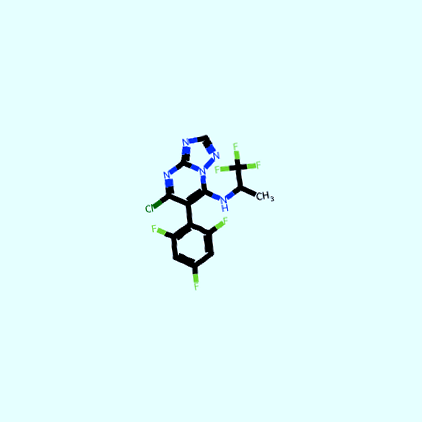 CC(Nc1c(-c2c(F)cc(F)cc2F)c(Cl)nc2ncnn12)C(F)(F)F